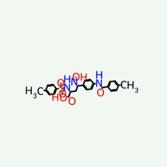 Cc1ccc(C(=O)Nc2ccc(/C(CC(NS(=O)(=O)c3ccc(C)cc3)C(=O)O)=N\O)cc2)cc1